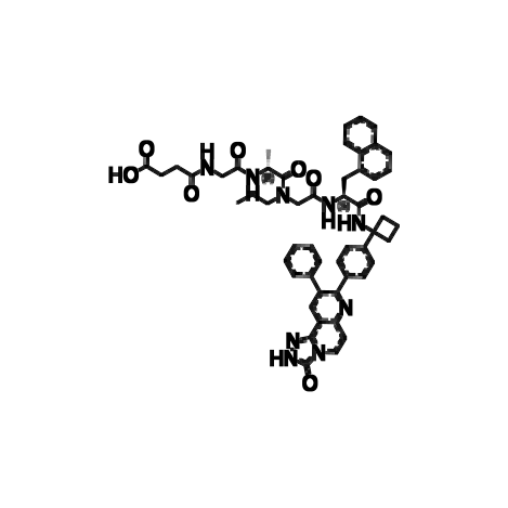 CCCN(CC(=O)N[C@@H](Cc1cccc2ccccc12)C(=O)NC1(c2ccc(-c3nc4ccn5c(=O)[nH]nc5c4cc3-c3ccccc3)cc2)CCC1)C(=O)[C@@H](C)NC(=O)CNC(=O)CCC(=O)O